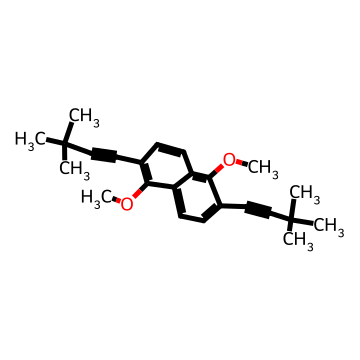 COc1c(C#CC(C)(C)C)ccc2c(OC)c(C#CC(C)(C)C)ccc12